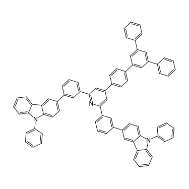 c1ccc(-c2cc(-c3ccccc3)cc(-c3ccc(-c4cc(-c5cccc(-c6ccc7c(c6)c6ccccc6n7-c6ccccc6)c5)nc(-c5cccc(-c6ccc7c(c6)c6ccccc6n7-c6ccccc6)c5)c4)cc3)c2)cc1